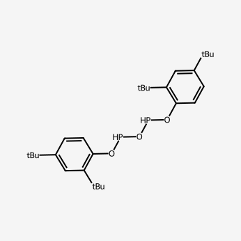 CC(C)(C)c1ccc(OPOPOc2ccc(C(C)(C)C)cc2C(C)(C)C)c(C(C)(C)C)c1